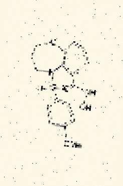 COc1ccc(S(=O)(=O)N2CCCOc3cccc(C(=O)NO)c32)cc1